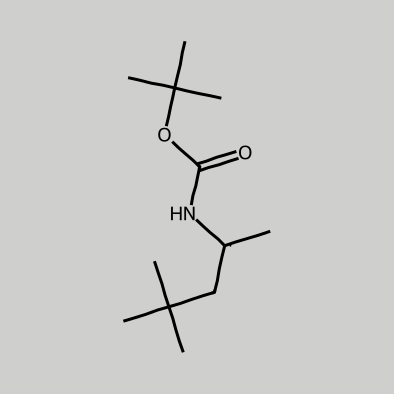 C[C](CC(C)(C)C)NC(=O)OC(C)(C)C